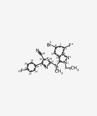 CCn1nc2c(F)cc(Br)cc2c1N(C)c1nc(-c2ccc(F)cc2)c(C#N)s1